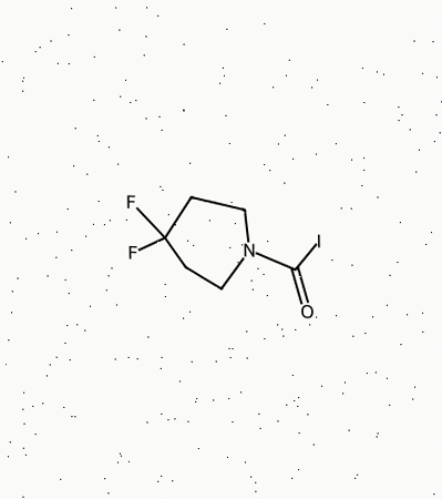 O=C(I)N1CCC(F)(F)CC1